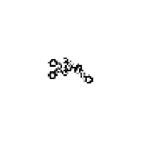 O=c1oc(-c2ccc(COc3ccccc3)o2)cc(O)c1C(Cc1ccccc1)SCc1ccccc1